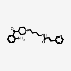 Nc1ccccc1C(=O)C1CCN(CCCCNC(=O)C=Cc2cccnc2)CC1